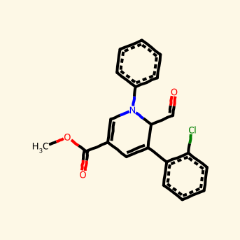 COC(=O)C1=CN(c2ccccc2)C(C=O)C(c2ccccc2Cl)=C1